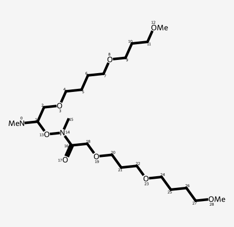 CNC(COCCCCOCCCOC)ON(C)C(=O)COCCCOCCCCOC